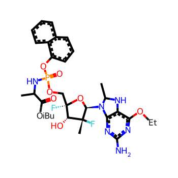 CCOc1nc(N)nc2c1NC(C)N2[C@@H]1O[C@](F)(COP(=O)(NC(C)C(=O)OCC(C)C)Oc2cccc3ccccc23)[C@@H](O)[C@@]1(C)F